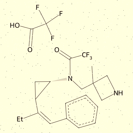 CCC(=Cc1ccccc1)C1C[C@@H]1N(CC1(C)CNC1)C(=O)C(F)(F)F.O=C(O)C(F)(F)F